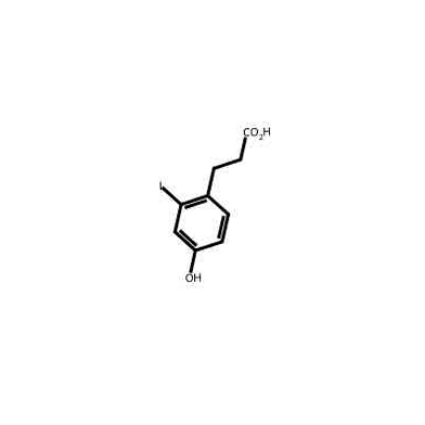 O=C(O)CCc1ccc(O)cc1I